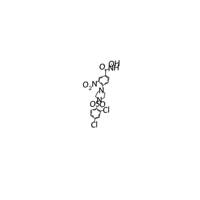 O=C(NO)c1ccc(N2CCN(S(=O)(=O)c3ccc(Cl)cc3Cl)CC2)c([N+](=O)[O-])c1